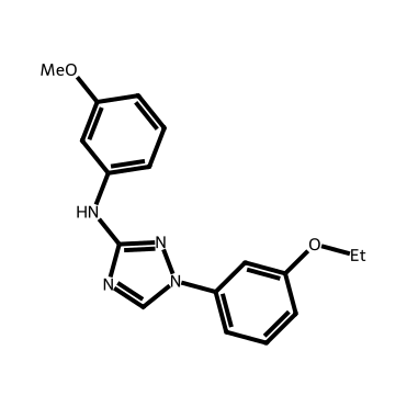 CCOc1cccc(-n2cnc(Nc3cccc(OC)c3)n2)c1